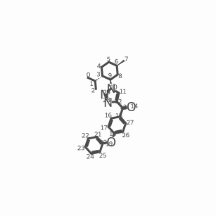 CC(C)[C@@H]1CC[C@@H](C)C[C@H]1n1cc(C(=O)c2ccc(Oc3ccccc3)cc2)nn1